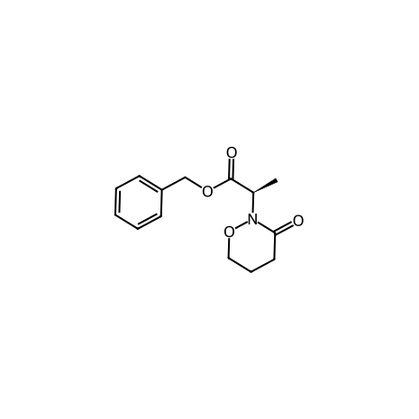 C[C@H](C(=O)OCc1ccccc1)N1OCCCC1=O